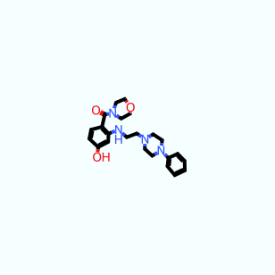 O=C(c1ccc(O)cc1NCCN1CCN(c2ccccc2)CC1)N1CCOCC1